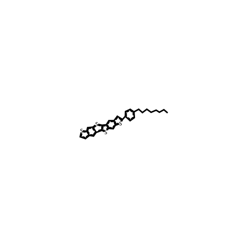 CCCCCCCCc1ccc(-c2cc3cc4c(cc3s2)sc2c3cc5ccsc5cc3sc42)cc1